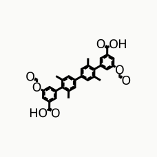 Cc1cc(-c2cc(C)c(-c3cc(OC=O)cc(C(=O)O)c3)c(C)c2)cc(C)c1-c1cc(OC=O)cc(C(=O)O)c1